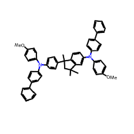 COc1ccc(N(c2ccc(-c3ccccc3)cc2)c2ccc(C3(C)CC(C)(C)c4cc(N(c5ccc(OC)cc5)c5ccc(-c6ccccc6)cc5)ccc43)cc2)cc1